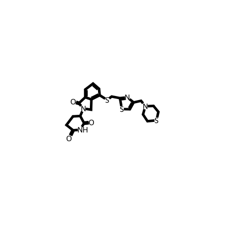 O=C1CCC(N2Cc3c(SCc4nc(CN5CCSCC5)cs4)cccc3C2=O)C(=O)N1